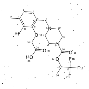 Cc1ccc(CN2CCN(C(=O)OC(C)C(F)(F)F)CC2)c(OCC(=O)O)c1F